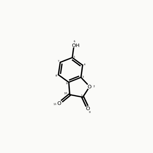 O=C1Oc2cc(O)ccc2C1=O